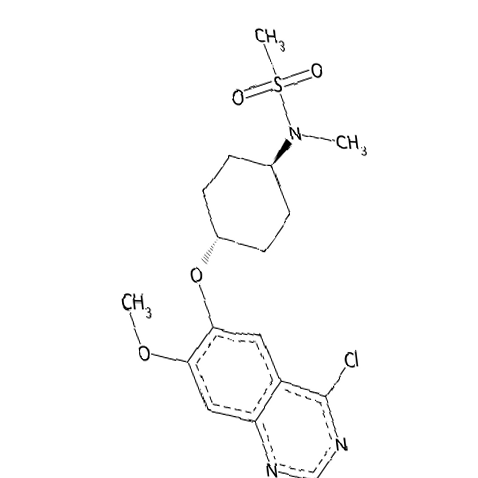 COc1cc2ncnc(Cl)c2cc1O[C@H]1CC[C@H](N(C)S(C)(=O)=O)CC1